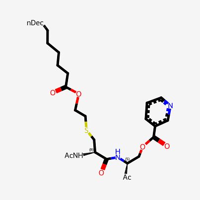 CCCCCCCCCCCCCCCC(=O)OCCSC[C@H](NC(C)=O)C(=O)N[C@@H](COC(=O)c1cccnc1)C(C)=O